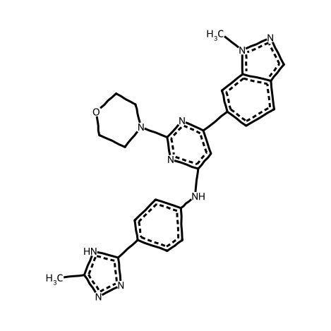 Cc1nnc(-c2ccc(Nc3cc(-c4ccc5cnn(C)c5c4)nc(N4CCOCC4)n3)cc2)[nH]1